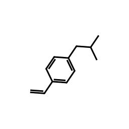 C=Cc1ccc(CC(C)C)cc1